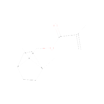 C=C(C)C(=O)OCC1(C)C2CCC1(C)CC2